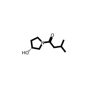 CC(C)CC(=O)N1CC[C@@H](O)C1